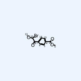 COC(=O)c1ccc(C(=O)C(Br)OC)cc1